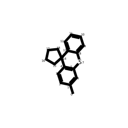 Cc1ccc2c(c1)Sc1ccccc1C21CCCC1